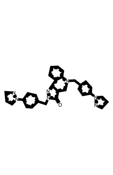 O=c1c2cn(Cc3ccc(-n4cccn4)cc3)c3ccccc3c-2nn1Cc1ccc(-n2cccn2)cc1